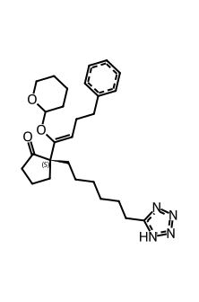 O=C1CCC[C@@]1(CCCCCCc1nnn[nH]1)C(=CCCc1ccccc1)OC1CCCCO1